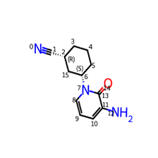 N#C[C@@H]1CCC[C@H](n2cccc(N)c2=O)C1